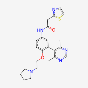 Cc1ncnc(C)c1-c1cc(NC(=O)Cc2nccs2)ccc1OCCN1CCCC1